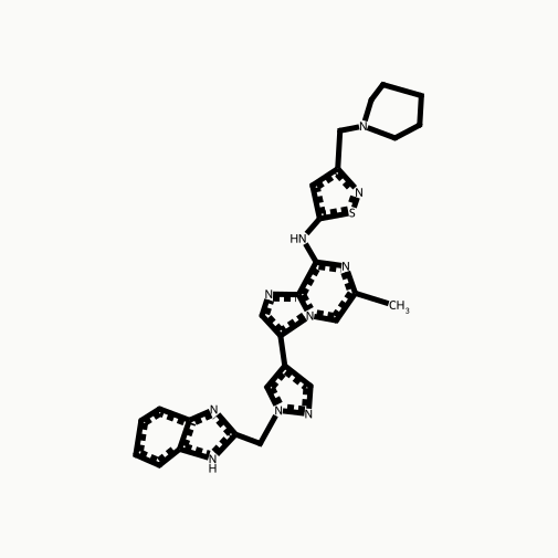 Cc1cn2c(-c3cnn(Cc4nc5ccccc5[nH]4)c3)cnc2c(Nc2cc(CN3CCCCC3)ns2)n1